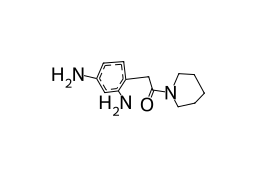 Nc1ccc(CC(=O)N2CCCCC2)c(N)c1